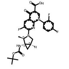 C[C@H]1N(c2nc3c(cc2F)c(=O)c(C(=O)O)cn3-c2ccc(F)cc2F)C[C@H]2C[C@]21NC(=O)OC(C)(C)C